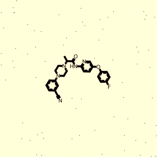 CC(C(=O)Nc1ccc(Oc2ccc(F)cc2)cn1)N1CCN(c2cccc(C#N)c2)CC1